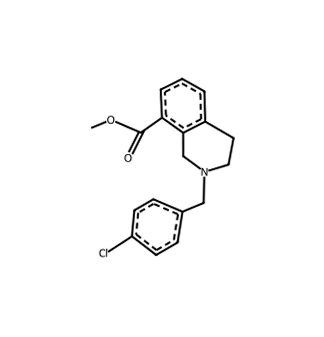 COC(=O)c1cccc2c1CN(Cc1ccc(Cl)cc1)CC2